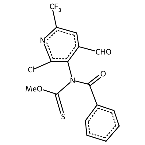 COC(=S)N(C(=O)c1ccccc1)c1c(C=O)cc(C(F)(F)F)nc1Cl